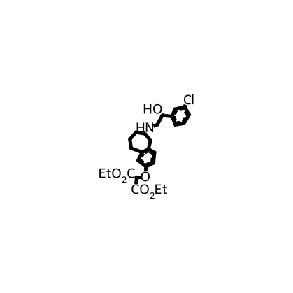 CCOC(=O)C(Oc1ccc2c(c1)CCCC(NCC(O)c1cccc(Cl)c1)C2)C(=O)OCC